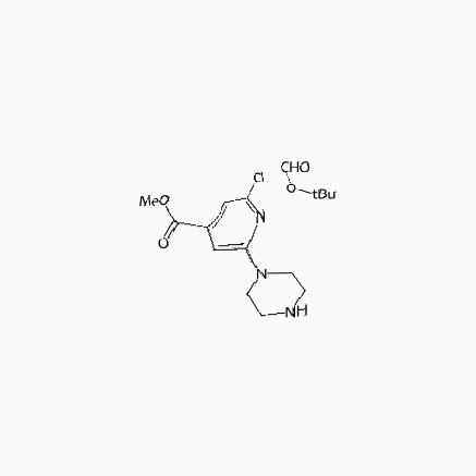 CC(C)(C)OC=O.COC(=O)c1cc(Cl)nc(N2CCNCC2)c1